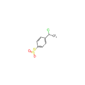 O=[SH](=O)c1ccc(C(Cl)C(F)(F)F)cc1